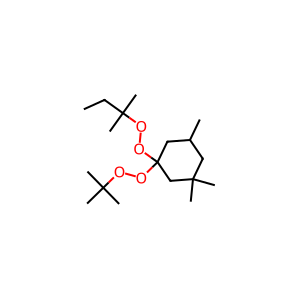 CCC(C)(C)OOC1(OOC(C)(C)C)CC(C)CC(C)(C)C1